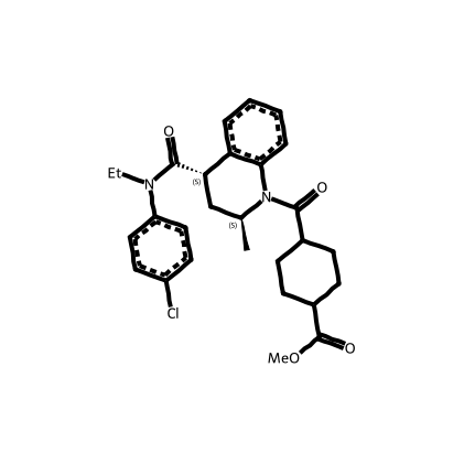 CCN(C(=O)[C@H]1C[C@H](C)N(C(=O)C2CCC(C(=O)OC)CC2)c2ccccc21)c1ccc(Cl)cc1